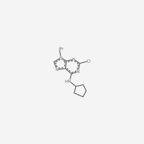 CC(C)n1cnc2c(NC3CCCC3)nc(Cl)nc21